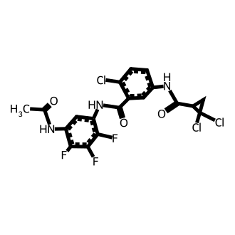 CC(=O)Nc1cc(NC(=O)c2cc(NC(=O)C3CC3(Cl)Cl)ccc2Cl)c(F)c(F)c1F